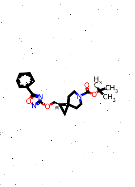 CC(C)(C)OC(=O)N1CCC2(CC1)C[C@H]2COc1noc(-c2ccccc2)n1